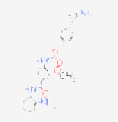 COc1cc(C(=O)Nc2ccccc2N)ccc1NC(=O)OCc1ccc(C2C[C@@H]2N)cc1